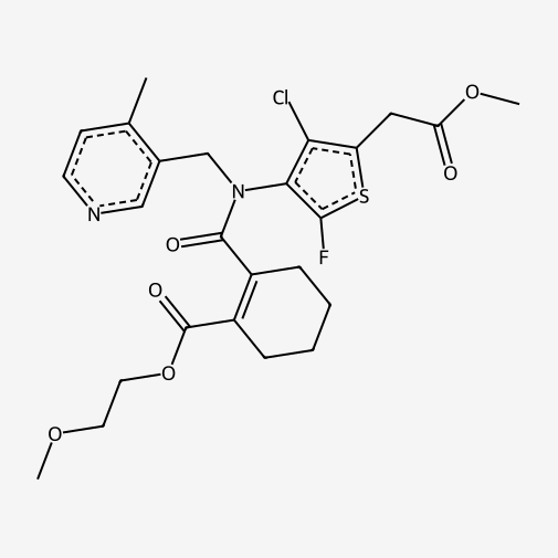 COCCOC(=O)C1=C(C(=O)N(Cc2cnccc2C)c2c(F)sc(CC(=O)OC)c2Cl)CCCC1